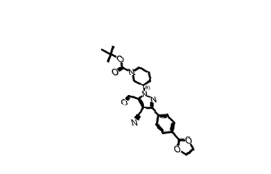 CC(C)(C)OC(=O)N1CCC[C@@H](n2nc(-c3ccc(C4OCCO4)cc3)c(C#N)c2C=O)C1